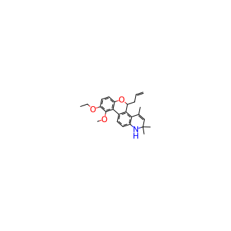 C=CCC1Oc2ccc(OCC)c(OC)c2-c2ccc3c(c21)C(C)=CC(C)(C)N3